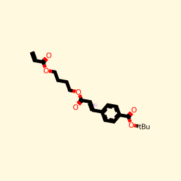 C=CC(=O)OCCCCOC(=O)/C=C/c1ccc(C(=O)OC(C)(C)C)cc1